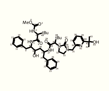 COC(=O)NC(C(=O)NC(Cc1ccccc1)C(O)CC(Cc1ccccc1)NC(=O)C(N1CCN(Cc2cccc(C(C)(C)O)n2)C1=O)C(C)(C)C)C(C)(C)C